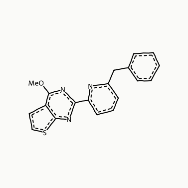 COc1nc(-c2cccc(Cc3ccccc3)n2)nc2sccc12